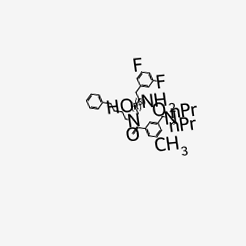 CCCN(CCC)C(=O)c1cc(C)cc(C(=O)N(CCCCc2ccccc2)C[C@@H](O)[C@@H](N)Cc2cc(F)cc(F)c2)c1